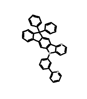 c1ccc(C2(c3ccccc3)c3ccccc3-c3cc4c(cc32)c2ncccc2n4-c2cccc(-c3ccccn3)c2)cc1